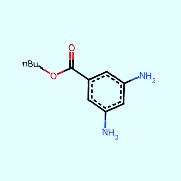 CCCCOC(=O)c1cc(N)cc(N)c1